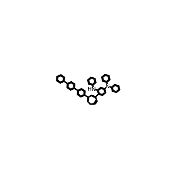 C1#CC(c2ccc(N(c3ccccc3)c3ccccc3)cc2Nc2ccccc2)=CC(c2ccc(-c3ccc(-c4ccccc4)cc3)cc2)=CC1